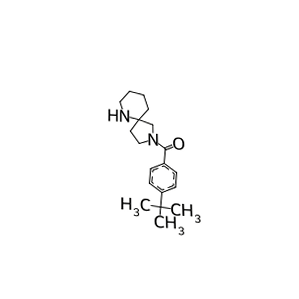 CC(C)(C)c1ccc(C(=O)N2CCC3(CCCCN3)C2)cc1